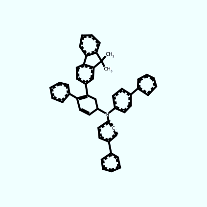 CC1(C)c2ccccc2-c2ccc(C3=C(c4ccccc4)C=CC(N(c4ccc(-c5ccccc5)cc4)c4ccc(-c5ccccc5)cc4)C3)cc21